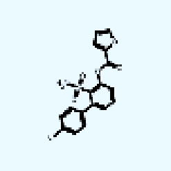 NS(=O)(=O)c1c(OC(=O)c2ccco2)cccc1-c1ccc(Cl)cc1